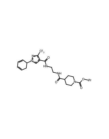 CC(C)OC(=O)N1CCC(C(=O)NCCNC(=O)c2cn(C3C=CC=CC3)nc2C(F)(F)F)CC1